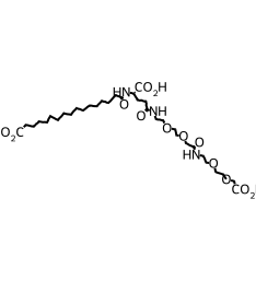 O=C(O)CCCCCCCCCCCCCCCC(=O)N[C@@H](CCC(=O)NCCOCCOCC(=O)NCCOCCOCC(=O)O)C(=O)O